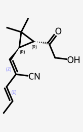 C/C=C/C(C#N)=C/[C@@H]1[C@@H](C(=O)CO)C1(C)C